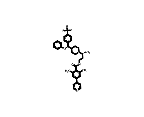 Cc1cc(-c2ccncc2)cc(C)c1C(=O)NCC[C@@H](C)N1CCC([C@@H](Oc2ccccc2)c2ccc(C(F)(F)F)cc2)CC1